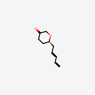 C=C/C=C/C[C@H]1CCC(=O)CO1